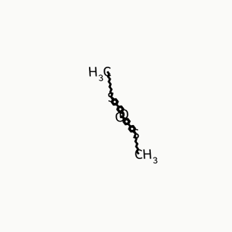 CCCCCCCCCCSc1ccc(-c2ccc(OC(=O)c3ccc(-c4ccc(SCCCCCCCC)cc4)cc3)cc2)cc1